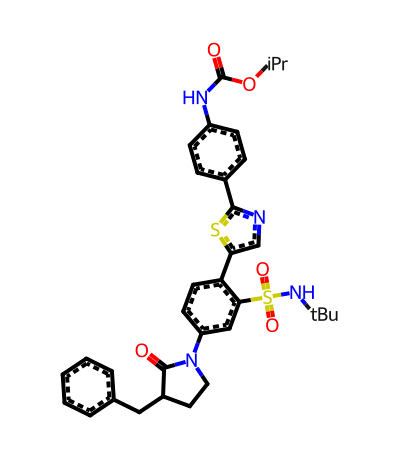 CC(C)OC(=O)Nc1ccc(-c2ncc(-c3ccc(N4CCC(Cc5ccccc5)C4=O)cc3S(=O)(=O)NC(C)(C)C)s2)cc1